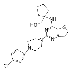 OCC1(Nc2nc(N3CCN(c4ccc(Cl)cc4)CC3)nc3c2SCC3)CCCC1